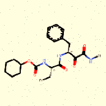 CCNC(=O)C(=O)[C@H](Cc1ccccc1)NC(=O)[C@H](CC(C)C)NC(=O)OC1CCCCC1